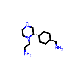 NCCN1CCNCC1[C@H]1CC[C@H](CN)CC1